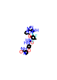 CNC(=O)c1cc(Oc2ccc(NC(=O)Nc3c(F)c(C)c(F)c(F)c3OCC3CCCN3c3ncnc4[nH]cnc34)cc2)ccn1